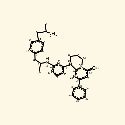 CC(N)Cc1ccc(CC(C)Nc2nccc(N3CCCn4c3nc(-c3ccccc3)cc4=O)n2)cc1